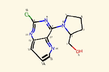 OCC1CCCN1c1nc(Cl)nc2cccnc12